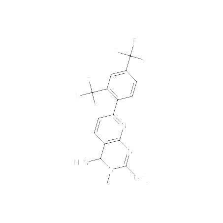 CN1C(N)=Nc2nc(-c3ccc(C(F)(F)F)cc3C(F)(F)F)ccc2C1N